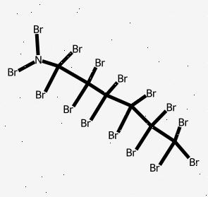 BrN(Br)C(Br)(Br)C(Br)(Br)C(Br)(Br)C(Br)(Br)C(Br)(Br)C(Br)(Br)Br